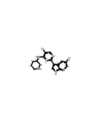 Fc1cnc(-c2c[nH]c3ncc(Cl)cc23)nc1NC1CCCNC1